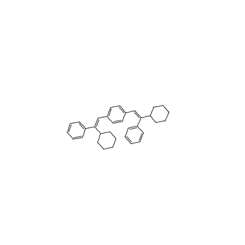 C(=C(c1ccccc1)C1CCCCC1)c1ccc(C=C(c2ccccc2)C2CCCCC2)cc1